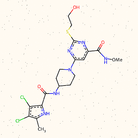 CONC(=O)c1cc(N2CCC(NC(=O)c3[nH]c(C)c(Cl)c3Cl)CC2)nc(SCCO)n1